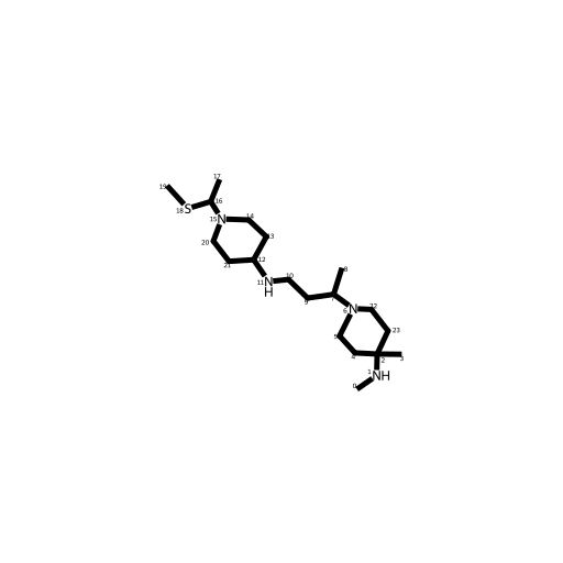 CNC1(C)CCN(C(C)CCNC2CCN(C(C)SC)CC2)CC1